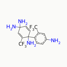 Nc1ccc(C2(N)C=CC(N)(N)C=C2C(F)(F)F)c(C(F)(F)F)c1